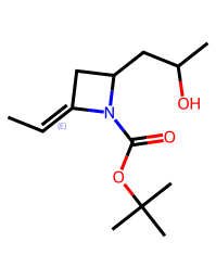 C/C=C1\CC(CC(C)O)N1C(=O)OC(C)(C)C